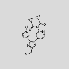 CC(C)Cn1cc(-c2ccnc(N(C(=O)C3CC3)C(=O)C3CC3)c2)c(-c2ccc(Cl)s2)n1